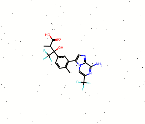 Cc1ccc(C(O)(C(C)C(=O)O)C(F)(F)F)cc1-c1cnc2c(N)nc(C(F)(F)F)cn12